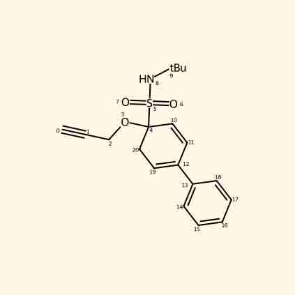 C#CCOC1(S(=O)(=O)NC(C)(C)C)C=CC(c2ccccc2)=CC1